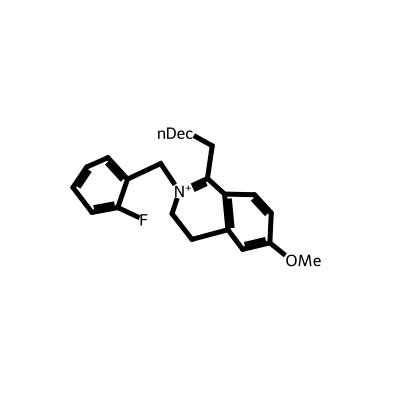 CCCCCCCCCCCC1=[N+](Cc2ccccc2F)CCc2cc(OC)ccc21